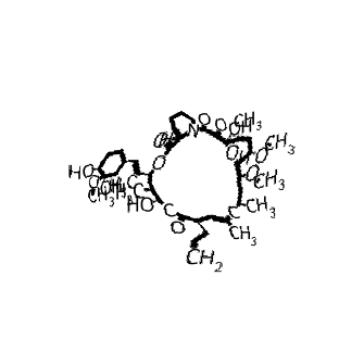 C=CC[C@@H]1/C=C(\C)C[C@H](C)C[C@H](OC)[C@H]2O[C@@](O)(C(=O)C(=O)N3CCCC[C@H]3C(=O)O[C@H](/C(C)=C/[C@@H]3CC[C@@H](O)[C@](O)(OC)C3)[C@H](C)[C@@H](O)CC1=O)[C@H](C)C[C@@H]2OC